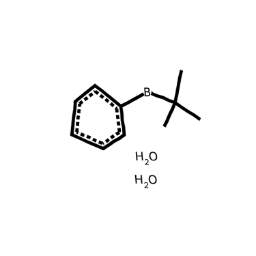 CC(C)(C)[B]c1ccccc1.O.O